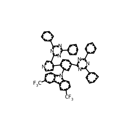 FC(F)(F)c1ccc2c(c1)c1cc(C(F)(F)F)ccc1n2-c1cc(-c2nc(-c3ccccc3)nc(-c3ccccc3)n2)ccc1-c1ccncc1-c1nc(-c2ccccc2)nc(-c2ccccc2)n1